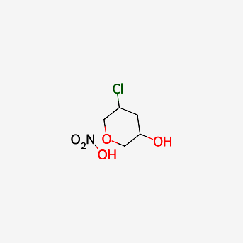 O=[N+]([O-])O.OC1COCC(Cl)C1